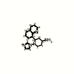 NC1CCN(n2ccnc2)C(c2cccc3cccnc23)C1